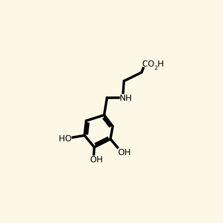 O=C(O)CCNCc1cc(O)c(O)c(O)c1